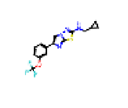 FC(F)(F)Oc1cccc(-c2cn3nc(NCC4CC4)sc3n2)c1